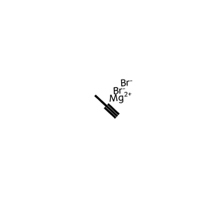 C#CC.[Br-].[Br-].[Mg+2]